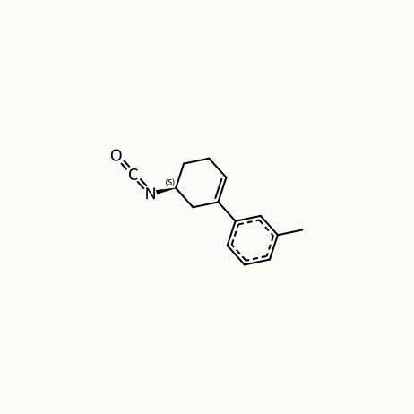 Cc1cccc(C2=CCC[C@H](N=C=O)C2)c1